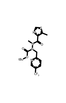 Cc1scnc1C(=O)N(C)N(Cc1ccc(C(F)(F)F)cn1)C(=O)OC(C)(C)C